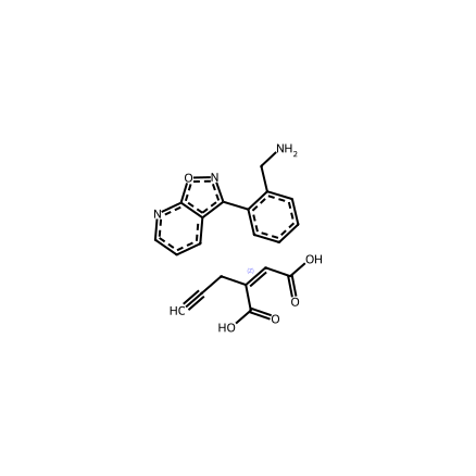 C#CC/C(=C/C(=O)O)C(=O)O.NCc1ccccc1-c1noc2ncccc12